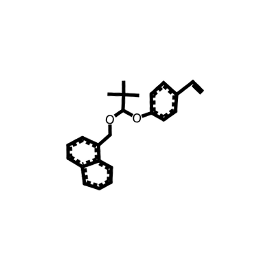 C=Cc1ccc(OC(OCc2cccc3ccccc23)C(C)(C)C)cc1